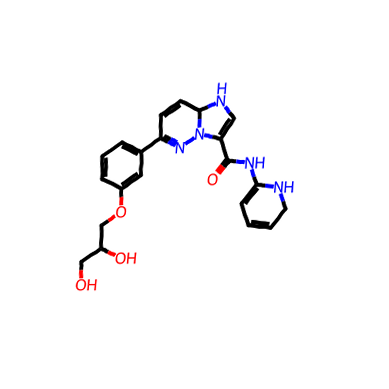 O=C(NC1=CC=CCN1)C1=CNC2C=CC(c3cccc(OCC(O)CO)c3)=NN12